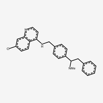 CNC(Cc1ccccc1)c1ccc(CNc2ccnc3cc(Cl)ccc23)cc1